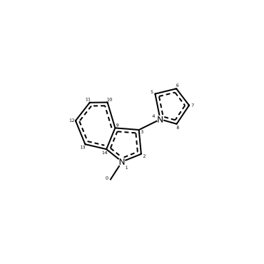 Cn1cc(-n2cccc2)c2ccccc21